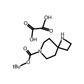 CC(C)(C)OC(=O)N1CCC2(CCN2)CC1.O=C(O)C(=O)O